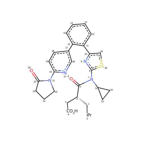 CC(C)C[C@H](CC(=O)O)C(=O)N(c1nc(-c2ccccc2-c2ccc(N3CCCC3=O)nc2)cs1)C1CC1